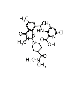 Cc1cc([C@@H](C)Nc2ccc(Cl)nc2C(=O)O)c2nc(N3CCC(C(=O)N(C)C)CC3)n(C)c(=O)c2c1